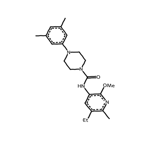 C[CH]c1cc(NC(=O)N2CCN(c3cc(C)cc(C)c3)CC2)c(OC)nc1C